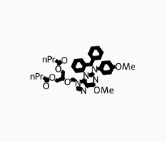 CCCC(=O)OCC(COC(=O)CCC)OCn1cnc2c(OC)nc(N(c3ccc(OC)cc3)C(c3ccccc3)c3ccccc3)nc21